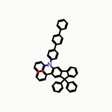 c1ccc(-c2ccc(-c3ccc(N(c4ccccc4)c4cc5c(cc4-c4ccccc4)C(c4ccccc4)(c4ccccc4)c4ccccc4-5)cc3)cc2)cc1